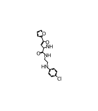 O=C(NCCNc1ccc(Cl)cc1)C1C=C(c2ccco2)ON1